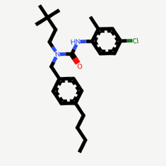 CCCCc1ccc(CN(CCC(C)(C)C)C(=O)Nc2ccc(Cl)cc2C)cc1